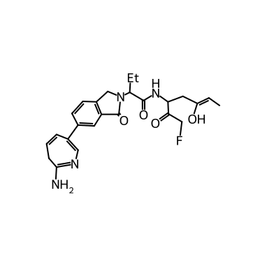 C/C=C(\O)CC(NC(=O)C(CC)N1Cc2ccc(C3=CN=C(N)CC=C3)cc2C1=O)C(=O)CF